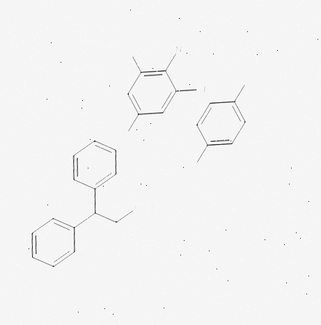 Cc1cc(C)c(N)c(C)c1.Cc1ccc(S(=O)(=O)O)cc1.O=C(O)CC(c1ccccc1)c1ccccc1